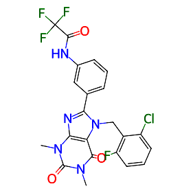 Cn1c(=O)c2c(nc(-c3cccc(NC(=O)C(F)(F)F)c3)n2Cc2c(F)cccc2Cl)n(C)c1=O